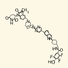 Cn1c(=O)n(C2CCC(=O)NC2=O)c2ccc(CN3CCOC4(C3)CN(c3ncc(-c5ccc6cn([C@H]7CC[C@H](CNC(=O)c8cc(F)c(O)c(F)c8F)CC7)nc6c5)cn3)C4)cc21